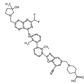 Cc1c(Nc2nc(C(F)F)nc3cc(CN4CCC(C)(O)C4)cnc23)cccc1-c1cccc(-c2nc3cc(CN4CCC(C(=O)O)CC4)cc(C#N)c3o2)c1C